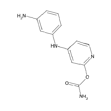 NC(=O)Oc1cc(Nc2cccc(N)c2)ccn1